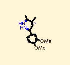 COc1ccc(C(=N)/C=C(/C)C(C)=N)cc1OC